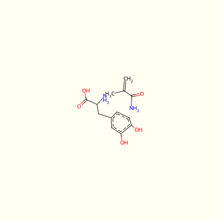 C=C(C)C(N)=O.NC(Cc1ccc(O)c(O)c1)C(=O)O